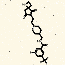 O=C(NCC1CCN(CCC2C(=O)CC3(CCN3)C2=O)CC1)c1cc(F)cc(C(F)(F)F)c1